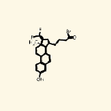 C[C@]12CCC3c4ccc(O)cc4CCC3C1C(CCCC(=O)Br)CC2=C(F)F